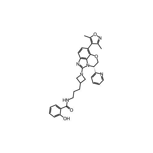 Cc1noc(C)c1-c1ccc2nc(N3CC(CCCNC(=O)c4ccccc4O)C3)n3c2c1OC[C@@H]3c1ccccn1